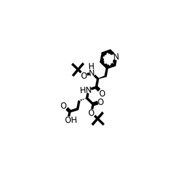 CC(C)(C)ON[C@@H](Cc1cccnc1)C(=O)N[C@@H](CCC(=O)O)C(=O)OC(C)(C)C